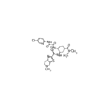 CN1CCc2nc(C(=O)NC3CC(C(=O)N(C)C)CCC3NC(=O)C(=O)Nc3ccc(Cl)cn3)sc2C1